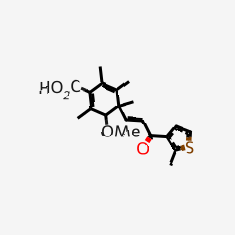 COC1C(C)=C(C(=O)O)C(C)=C(C)C1(C)C=CC(=O)c1ccsc1C